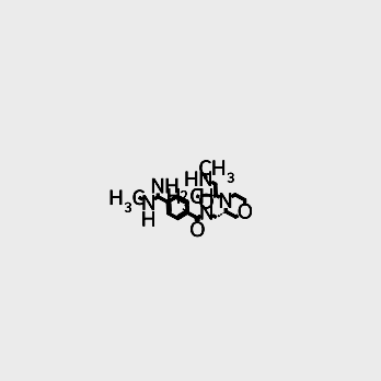 CNCC(OC)N1CCOC[C@@H]1CNC(=O)c1ccc(C(N)NC)cc1